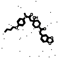 CCCCOc1ccc(N(C)C(=O)CC2(O)CCN(C(=O)Cc3ccc4c(c3)OCO4)CC2)cc1